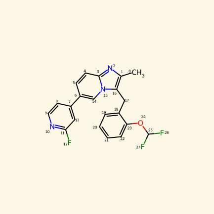 Cc1nc2ccc(-c3ccnc(F)c3)cn2c1Cc1ccccc1OC(F)F